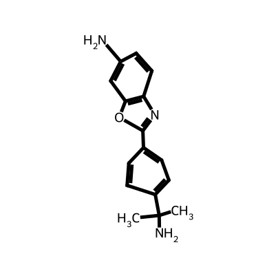 CC(C)(N)c1ccc(-c2nc3ccc(N)cc3o2)cc1